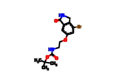 CC(C)(C)OC(=O)NCCOc1cc(Br)c2c(c1)C(=O)NC2